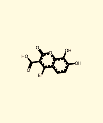 O=C(O)c1c(Br)c2ccc(O)c(O)c2oc1=O